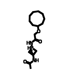 CC(=O)NC12C[PH](NC(=O)COC3CCCCCCCC3)(C1)C2